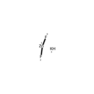 [F][Zn][F].[KH]